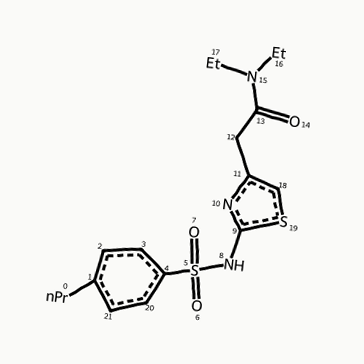 CCCc1ccc(S(=O)(=O)Nc2nc(CC(=O)N(CC)CC)cs2)cc1